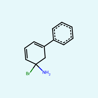 NC1(Br)C=CC=C(c2ccccc2)C1